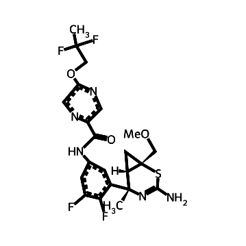 COC[C@]12C[C@H]1[C@@](C)(c1cc(NC(=O)c3cnc(OCC(C)(F)F)cn3)cc(F)c1F)N=C(N)S2